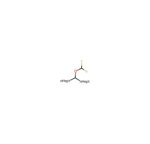 CCCCCCCC(CCCCCCC)OC(F)F